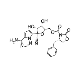 N#C[C@@]1(c2ccc3c(N)ncnn23)O[C@H](COC(=O)N2C(=O)OC[C@@H]2Cc2ccccc2)[C@@H](O)[C@H]1O